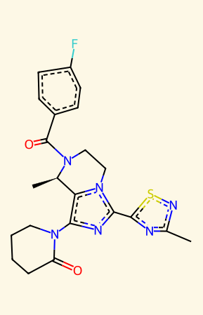 Cc1nsc(-c2nc(N3CCCCC3=O)c3n2CCN(C(=O)c2ccc(F)cc2)[C@@H]3C)n1